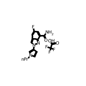 CCCn1ccc(-n2cc3cc(F)cc(C(N)=O)c3n2)c1.O=C(O)C(F)(F)F